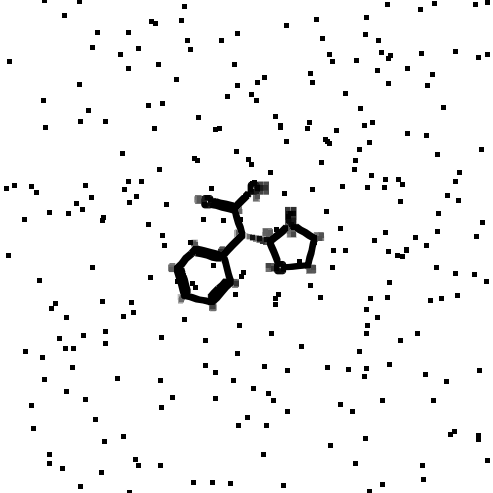 O=C(O)[C@@H](c1ccccc1)C1NCCO1